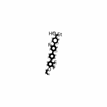 C/C=C\Oc1ccc(-c2ccc(-c3ccc(C4CCC(C(O)CC)CC4)c(F)c3)cc2)c(F)c1F